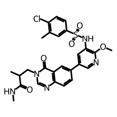 CNC(=O)C(C)Cn1cnc2ccc(-c3cnc(OC)c(NS(=O)(=O)c4ccc(Cl)c(C)c4)c3)cc2c1=O